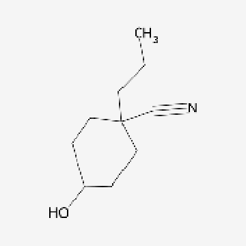 CCCC1(C#N)CCC(O)CC1